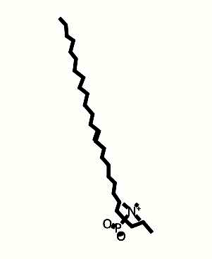 CCCCCCCCCCCCCC=CCCCCCCCCC(CCC)(P(=O)=O)[N+](C)(C)C